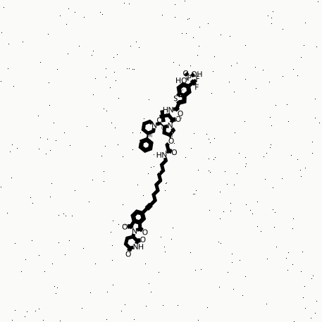 CC(C)(C)[C@H](NC(=O)c1cc2cc(C(F)(F)P(=O)(O)O)ccc2s1)C(=O)N1C[C@@H](OCC(=O)NCCCCCCCCCC#Cc2ccc3c(c2)C(=O)N(C2CCC(=O)NC2=O)C3=O)C[C@H]1C(=O)N1CCC[C@H](c2ccccc2)C1